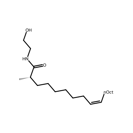 CCCCCCCC/C=C\CCCCCC[C@H](C)C(=O)NCCO